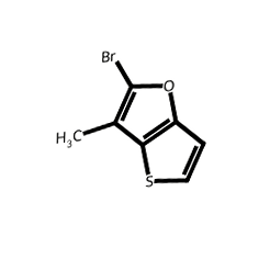 Cc1c(Br)oc2ccsc12